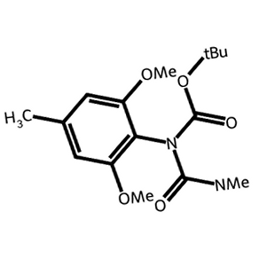 CNC(=O)N(C(=O)OC(C)(C)C)c1c(OC)cc(C)cc1OC